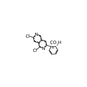 O=C(O)[C@@]1(c2cc3cnc(Cl)cc3c(Cl)n2)C=CC=CC1